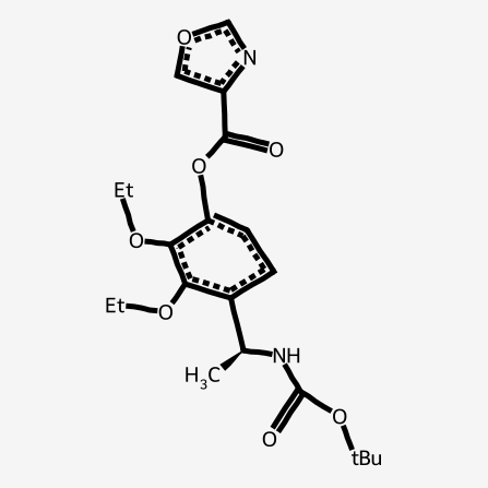 CCOc1c(OC(=O)c2cocn2)ccc([C@H](C)NC(=O)OC(C)(C)C)c1OCC